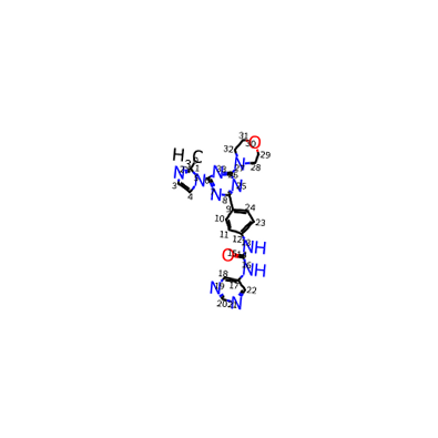 Cc1nccn1-c1nc(-c2ccc(NC(=O)Nc3cncnc3)cc2)nc(N2CCOCC2)n1